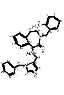 Cc1ccccc1CN1CCc2ccccc2C(NCc2cncn2Cc2ccccc2)C1=O